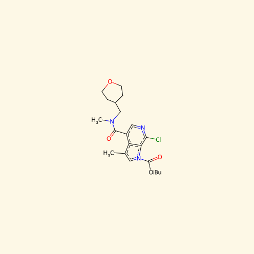 Cc1cn(C(=O)OCC(C)C)c2c(Cl)ncc(C(=O)N(C)CC3CCOCC3)c12